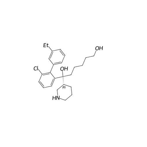 CCc1cccc(-c2c(Cl)cccc2C(O)(CCCCCO)[C@@H]2CCCNC2)c1